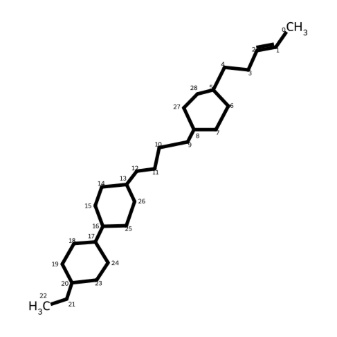 CC=CCCC1CCC(CCCCC2CCC(C3CCC(CC)CC3)CC2)CC1